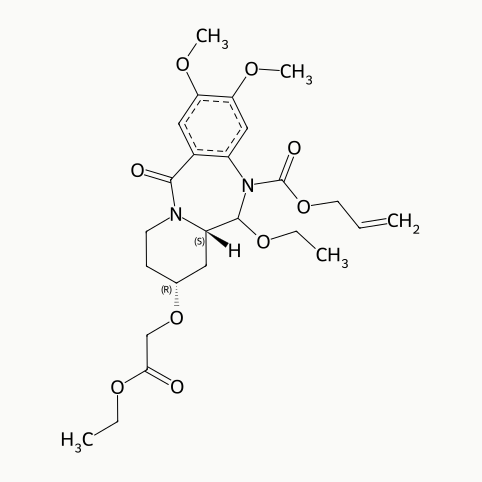 C=CCOC(=O)N1c2cc(OC)c(OC)cc2C(=O)N2CC[C@@H](OCC(=O)OCC)C[C@H]2C1OCC